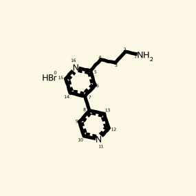 Br.NCCCc1cc(-c2ccncc2)ccn1